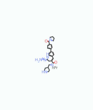 CCCN(CC1CCNCC1)C(=O)C1=Cc2ccc(-c3ccc(C(=O)N4CCCC4)cc3)cc2NC(N=NN)C1